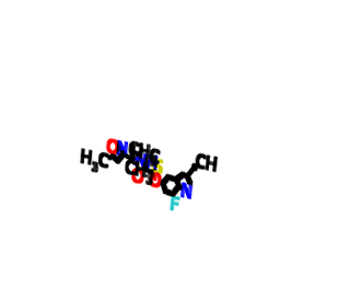 C#Cc1cnc2c(F)cc(OC(SC)C(=O)NC(C)(C)c3cc(C)on3)cc2c1